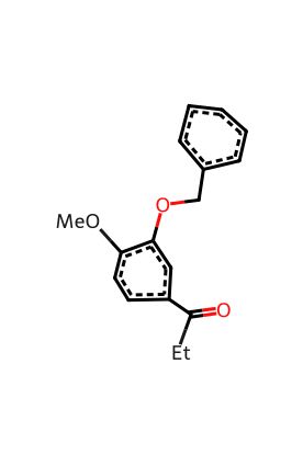 CCC(=O)c1ccc(OC)c(OCc2ccccc2)c1